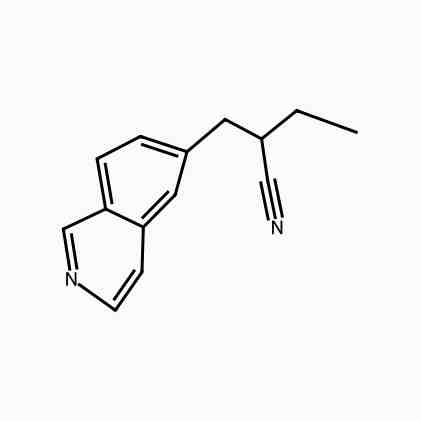 CCC(C#N)Cc1ccc2cnccc2c1